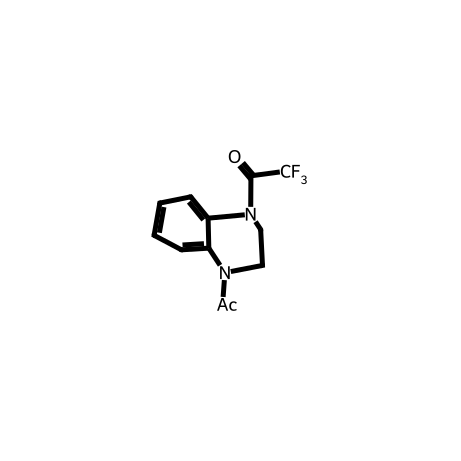 CC(=O)N1CCN(C(=O)C(F)(F)F)c2ccccc21